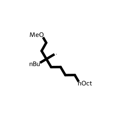 [CH2]C(CCCC)(CCCCCCCCCCCC)CCOC